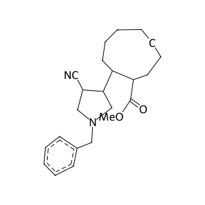 COC(=O)C1CCCCCCCC1C1CN(Cc2ccccc2)CC1C#N